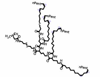 CCCCC/C=C\C/C=C\CCCCCCCC(=O)NCCCC(NC(=O)CCCCCCC/C=C\C/C=C\CCCCC)C(=O)NCCCC(NC(=O)C(CCCNC(=O)CCCCCCC/C=C\C/C=C\CCCCC)NC(=O)CCCCCCC/C=C\C/C=C\CCCCC)C(=O)NCCSSCCNC(=O)CN(C)C